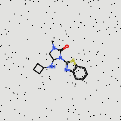 CN1CC(NC2CCC2)N(c2nc3ccccc3s2)C1=O